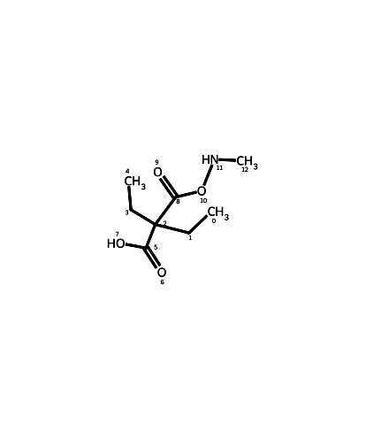 CCC(CC)(C(=O)O)C(=O)ONC